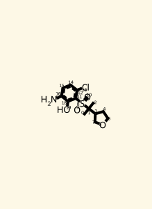 CC(C)(C1CCOC1)S(=O)(=O)c1c(Cl)ccc(N)c1O